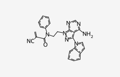 C=C(C#N)C(=O)N(CCn1nc(-n2ccc3ccccc32)c2c(N)ncnc21)c1ccccc1